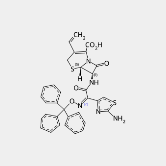 C=CC1=C(C(=O)O)N2C(=O)[C@@H](NC(=O)/C(=N\OC(c3ccccc3)(c3ccccc3)c3ccccc3)c3csc(N)n3)[C@@H]2SC1